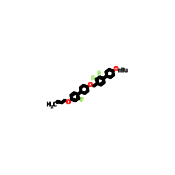 C=CCCOc1ccc(C2CCC(OCc3ccc(C4CCC(OCCCC)CC4)c(F)c3F)CC2)c(F)c1